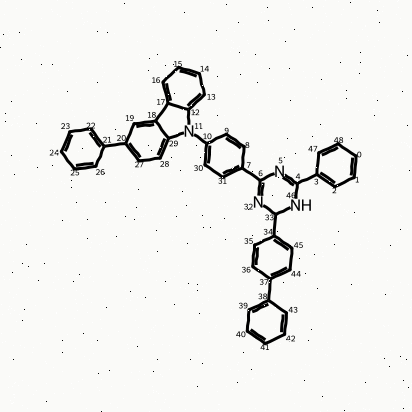 c1ccc(C2=NC(c3ccc(-n4c5ccccc5c5cc(-c6ccccc6)ccc54)cc3)=NC(c3ccc(-c4ccccc4)cc3)N2)cc1